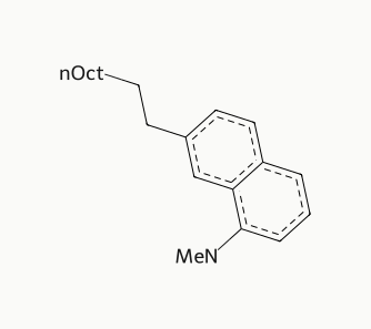 CCCCCCCCCCc1ccc2cccc(NC)c2c1